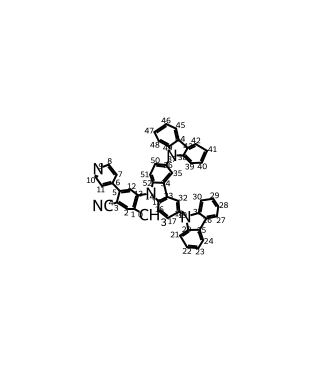 Cc1cc(C#N)c(-c2ccncc2)cc1-n1c2ccc(-n3c4ccccc4c4ccccc43)cc2c2cc(-n3c4ccccc4c4ccccc43)ccc21